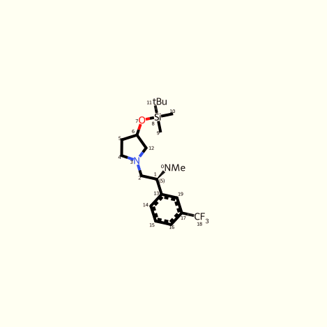 CN[C@H](CN1CCC(O[Si](C)(C)C(C)(C)C)C1)c1cccc(C(F)(F)F)c1